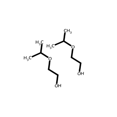 CC(C)OCCO.CC(C)OCCO